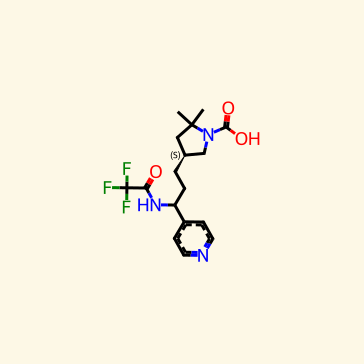 CC1(C)C[C@H](CCC(NC(=O)C(F)(F)F)c2ccncc2)CN1C(=O)O